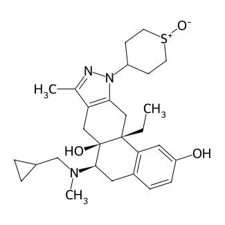 CC[C@]12Cc3c(c(C)nn3C3CC[S+]([O-])CC3)C[C@@]1(O)[C@H](N(C)CC1CC1)Cc1ccc(O)cc12